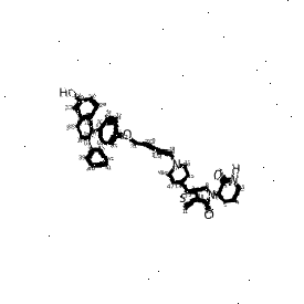 O=C1NCCCC1N1Cc2c(csc2C2CCN(CCCCOc3ccc([C@@H]4c5ccc(O)cc5CC[C@@H]4c4ccccc4)cc3)CC2)C1=O